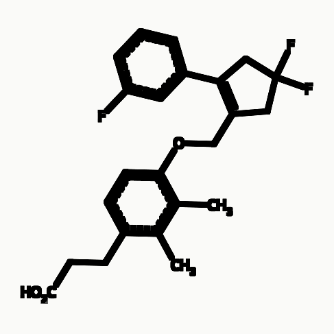 Cc1c(CCC(=O)O)ccc(OCC2=C(c3cccc(F)c3)CC(F)(F)C2)c1C